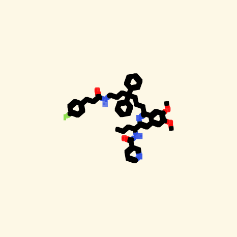 CCCC(NC(=O)c1cccnc1)c1cc2cc(OC)c(OC)cc2c(CCCC(CCCNC(=O)CCc2ccc(F)cc2)(c2ccccc2)c2ccccc2)n1